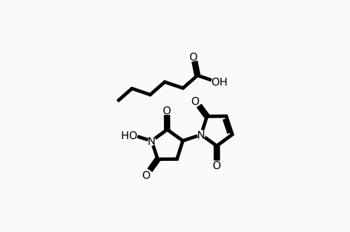 CCCCCC(=O)O.O=C1CC(N2C(=O)C=CC2=O)C(=O)N1O